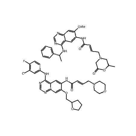 COc1cc2ncnc(NC(C)c3ccccc3)c2cc1NC(=O)C=CCN1CC(=O)OC(C)C1.O=C(C=CCN1CCOCC1)Nc1cc2c(Nc3ccc(F)c(Cl)c3)ncnc2cc1OCC1CCCO1